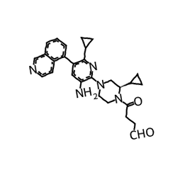 Nc1cc(-c2cccc3cnccc23)c(C2CC2)nc1N1CCN(C(=O)CCC=O)[C@H](C2CC2)C1